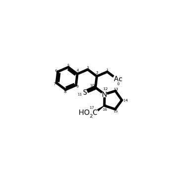 CC(=O)CC(Cc1ccccc1)C(=S)N1CCC[C@H]1C(=O)O